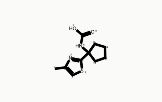 Cc1csc(C2(NC(=O)O)CCCC2)n1